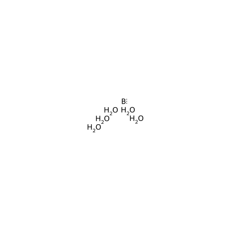 O.O.O.O.O.[B]